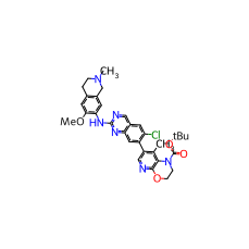 COc1cc2c(cc1Nc1ncc3cc(Cl)c(-c4cnc5c(c4C)N(C(=O)OC(C)(C)C)CCO5)cc3n1)CN(C)CC2